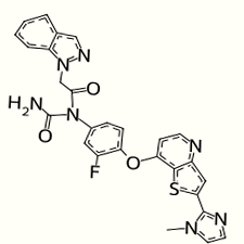 Cn1ccnc1-c1cc2nccc(Oc3ccc(N(C(N)=O)C(=O)Cn4ncc5ccccc54)cc3F)c2s1